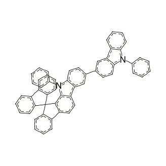 c1ccc(-n2c3ccccc3c3cc(-c4ccc5c(c4)c4ccc6c(c4n5-c4ccccc4)C4(c5ccccc5-c5ccccc54)c4ccccc4-6)ccc32)cc1